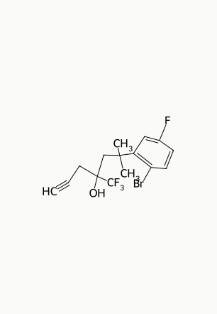 C#CCC(O)(CC(C)(C)c1cc(F)ccc1Br)C(F)(F)F